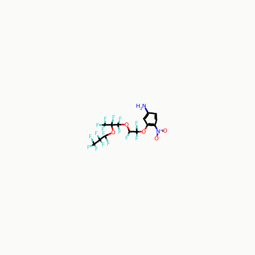 Nc1ccc([N+](=O)[O-])c(OC(F)(F)C(F)OC(F)(F)C(F)(OC(F)(F)C(F)(F)C(F)(F)F)C(F)(F)F)c1